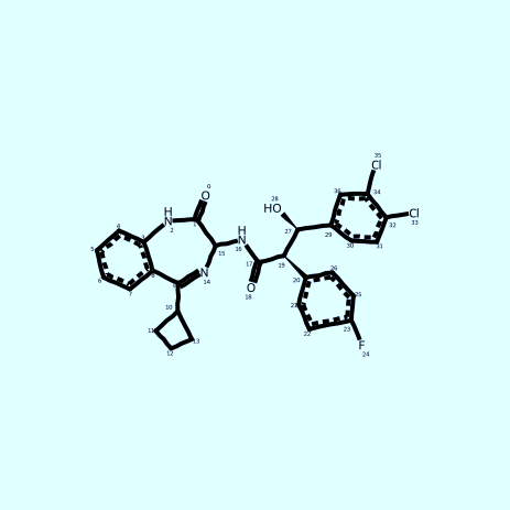 O=C1Nc2ccccc2C(C2CCC2)=NC1NC(=O)[C@H](c1ccc(F)cc1)[C@@H](O)c1ccc(Cl)c(Cl)c1